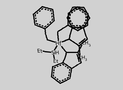 CC[SiH](CC)[Hf]([CH2]c1ccccc1)([CH2]c1ccccc1)([CH]1C(C)=Cc2ccccc21)[CH]1C(C)=Cc2ccccc21